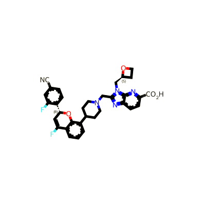 N#Cc1ccc([C@H]2C=C(F)c3cccc(C4CCN(Cc5nc6ccc(C(=O)O)nc6n5C[C@@H]5CCO5)CC4)c3O2)c(F)c1